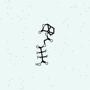 O=C(COC(=O)C(F)(F)C(F)(F)C(=O)O)OC1C2CC3C(=O)OC1C3C2